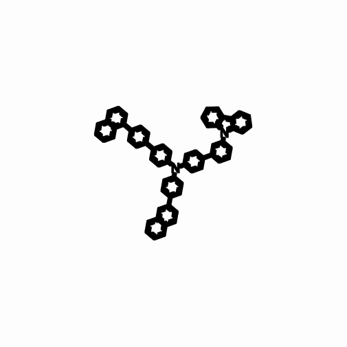 c1cc(-c2ccc(N(c3ccc(-c4ccc(-c5cccc6ccccc56)cc4)cc3)c3ccc(-c4ccc5ccccc5c4)cc3)cc2)cc(-n2c3ccccc3c3ccccc32)c1